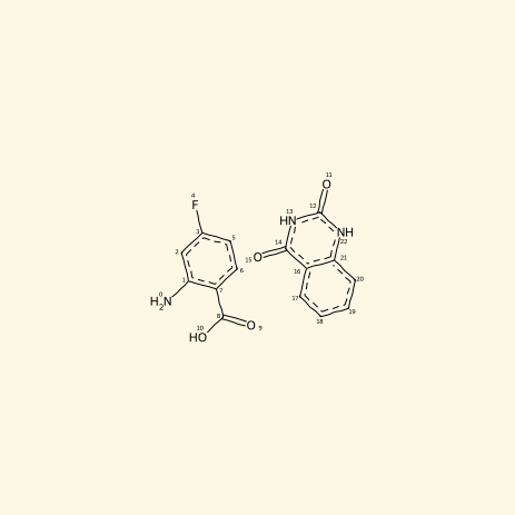 Nc1cc(F)ccc1C(=O)O.O=c1[nH]c(=O)c2ccccc2[nH]1